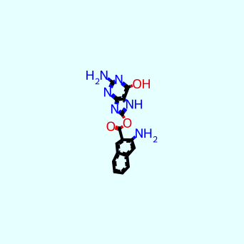 Nc1nc(O)c2[nH]c(OC(=O)c3cc4ccccc4cc3N)nc2n1